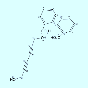 O=C(O)c1ccccc1.O=C(O)c1ccccc1.OCC#CC#CCO